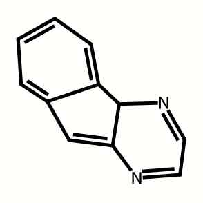 C1=NC2=Cc3ccccc3C2N=C1